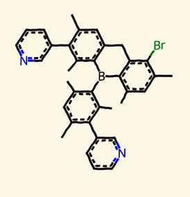 Cc1cc(C)c2c(c1Br)Cc1cc(C)c(-c3cccnc3)c(C)c1B2c1c(C)cc(C)c(-c2cccnc2)c1C